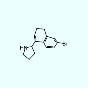 Brc1ccc2c(c1)CCC=C2C1CCCN1